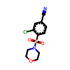 N#Cc1ccc(S(=O)(=O)N2CCOCC2)c(Cl)c1